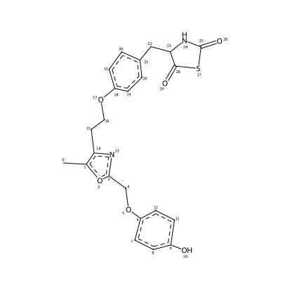 Cc1oc(COc2ccc(O)cc2)nc1CCOc1ccc(CC2NC(=O)SC2=O)cc1